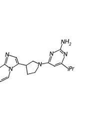 CC(C)c1cc(N2CCC(c3cnc4ccccn34)C2)nc(N)n1